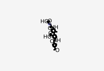 CC(=O)c1ccc(C(=O)Nc2ccc(-c3ccc(NC(=O)/C=C/C(=O)O)cc3C)c(C(=O)O)c2)cc1